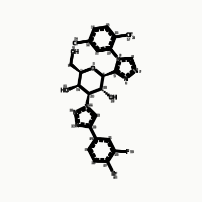 OC[C@H]1O[C@@H](c2nncn2-c2cc(Cl)ccc2C(F)(F)F)[C@H](O)[C@@H](n2cc(-c3ccc(Br)c(F)c3)nn2)[C@H]1O